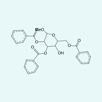 COC1OC(COC(=O)c2ccccc2)C(O)C(OC(=O)c2ccccc2)C1OC(=O)c1ccccc1